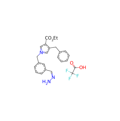 CCOC(=O)c1cn(Cc2cccc(/C=N\N)c2)cc1Cc1ccccc1.O=C(O)C(F)(F)F